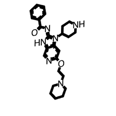 O=C(/N=c1\[nH]c2cnc(OCCN3CCCCC3)cc2n1C1CCNCC1)c1ccccc1